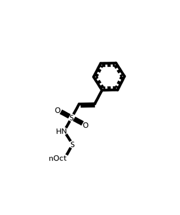 CCCCCCCCSNS(=O)(=O)C=Cc1ccccc1